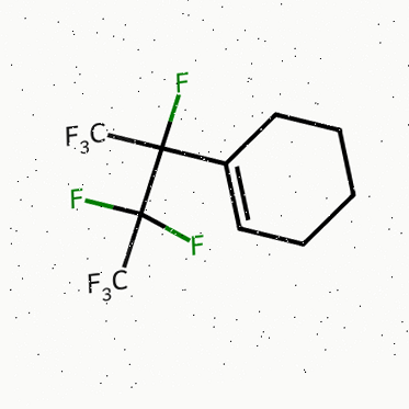 FC(F)(F)C(F)(F)C(F)(C1=CCCCC1)C(F)(F)F